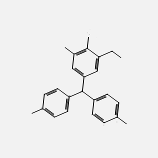 CCc1cc(C(c2ccc(F)cc2)c2ccc(F)cc2)cc(C)c1N